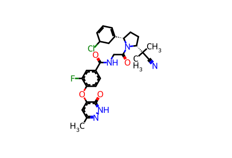 Cc1cc(Oc2ccc(C(=O)NCC(=O)N3[C@H](C4=CC=CC(Cl)C4)CC[C@@H]3C(C)(C)C#N)cc2F)c(=O)[nH]n1